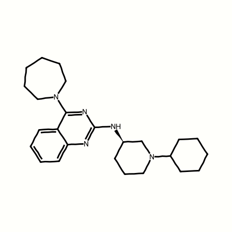 c1ccc2c(N3CCCCCC3)nc(N[C@@H]3CCCN(C4CCCCC4)C3)nc2c1